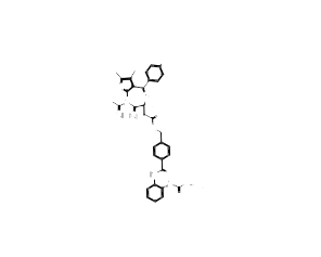 CC(=N)N1C(=N)[C@@](C)(CC(=O)OCc2ccc(C(=O)Nc3ccccc3NC(=O)OC(C)(C)C)cc2)N=C(c2ccc(Cl)cc2)c2c1sc(C)c2C